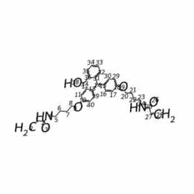 C=CC(=O)NCCCCOc1ccc(C(c2ccc(OCCCCNC(=O)C=C)cc2)c2ccccc2CO)cc1